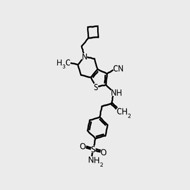 C=C(Cc1ccc(S(N)(=O)=O)cc1)Nc1sc2c(c1C#N)CN(CC1CCC1)C(C)C2